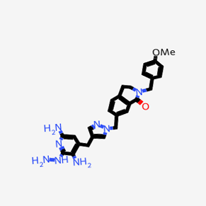 COc1ccc(CN2CCc3ccc(Cn4cc(Cc5cc(N)nc(NN)c5N)cn4)cc3C2=O)cc1